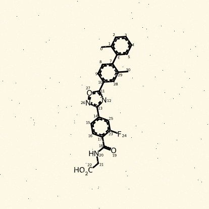 Cc1ccccc1-c1ccc(-c2nc(-c3ccc(C(=O)NCC(=O)O)c(F)c3)no2)cc1C